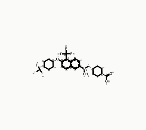 CN(C[C@H]1CC[C@H](C(=O)O)CC1)c1ccc2c(C(F)(F)F)c(O[C@H]3CC[C@@H](C(F)(F)F)CC3)ccc2c1